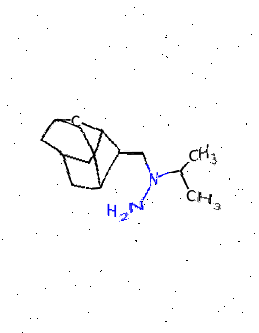 CC(C)N(N)CC1C2CC3CC(C2)CC1C3